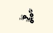 COc1ccc(/C=C/C(=O)Nc2ccccc2COc2ccc(N3CCN(C)CC3)cc2)cc1O